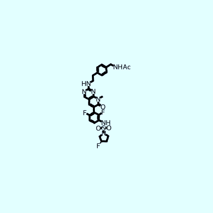 CC(=O)NCc1ccc(CCNc2ncc3cc(-c4c(F)ccc(NS(=O)(=O)N5CC[C@@H](F)C5)c4F)c(=O)n(C)c3n2)cc1